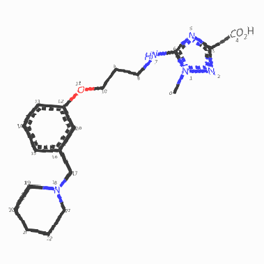 Cn1nc(C(=O)O)nc1NCCCOc1cccc(CN2CCCCC2)c1